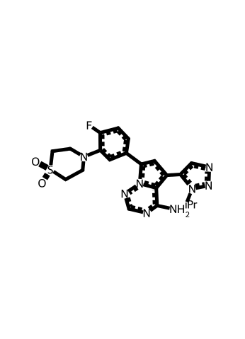 CC(C)n1nncc1-c1cc(-c2ccc(F)c(N3CCS(=O)(=O)CC3)c2)n2ncnc(N)c12